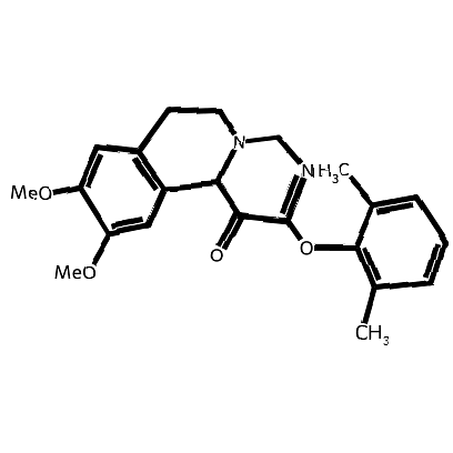 COc1cc2c(cc1OC)C1C(=O)C(Oc3c(C)cccc3C)=NCN1CC2